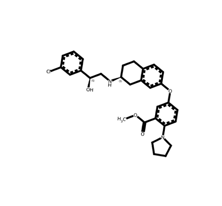 COC(=O)c1cc(Oc2ccc3c(c2)C[C@@H](NC[C@@H](O)c2cccc(Cl)c2)CC3)ccc1N1CCCC1